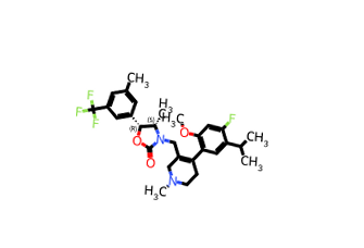 COc1cc(F)c(C(C)C)cc1C1=C(CN2C(=O)O[C@H](c3cc(C)cc(C(F)(F)F)c3)[C@@H]2C)CN(C)CC1